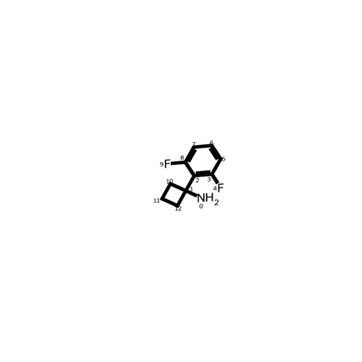 NC1(c2c(F)cccc2F)CCC1